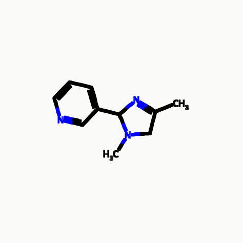 CC1=NC(c2cccnc2)N(C)C1